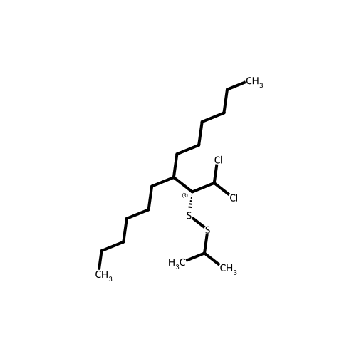 CCCCCCC(CCCCCC)[C@@H](SSC(C)C)C(Cl)Cl